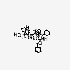 CC(C)(C)[C@H](NC(=O)[C@@H](NC(=O)OCc1ccccc1)C1CCCCC1)C(=O)N1C[C@@H]2CCC[C@@H]2[C@@]1(C(=O)O)C(C)(C)C